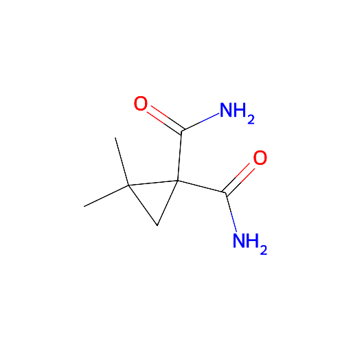 CC1(C)CC1(C(N)=O)C(N)=O